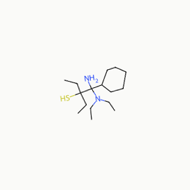 CCN(CC)C(N)(C1CCCCC1)C(S)(CC)CC